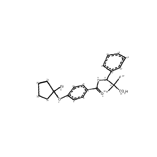 CCC1(Oc2ccc(C(=O)OC(c3ccccc3)C(F)(F)C(=O)O)cc2)CCCC1